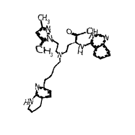 Cc1cc(C)n(CCN(CCCCc2ccc3c(n2)NCCC3)CC[C@H](Nc2ncnc3ccccc23)C(=O)O)n1